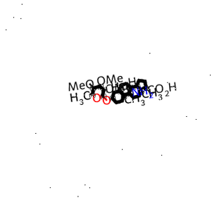 CO[C@@H]1[C@H](OC)[C@@H](O[C@H]2CC[C@@]3(C)[C@H](CC[C@@H]4[C@@H]3CC[C@]3(C)[C@@H](C(=O)O)CC[C@]43N)C2)O[C@H](C)[C@H]1OC